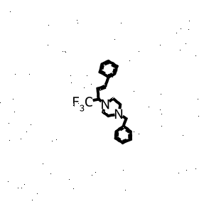 FC(F)(F)C(/C=C/c1ccccc1)N1CCN(Cc2ccccc2)CC1